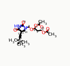 CC(=O)OCCC(OCn1cc(C#C[Si](C)(C)C)c(=O)[nH]c1=O)OC(C)=O